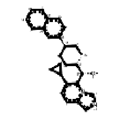 O[C@H](c1c(C2CC2)ccc2cncn12)[C@H]1CC[C@H](c2ccc3ccccc3c2)CC1